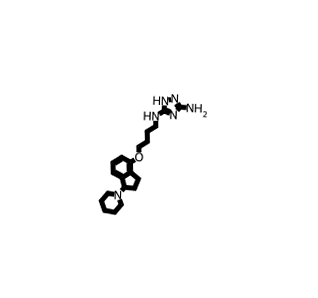 Nc1n[nH]c(NCCCCOc2cccc3c2CCC3N2CCCCC2)n1